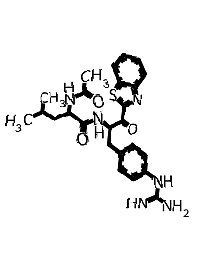 CC(=O)NC(CC(C)C)C(=O)NC(Cc1ccc(NC(=N)N)cc1)C(=O)c1nc2ccccc2s1